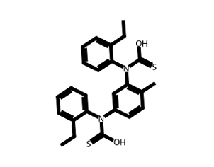 CCc1ccccc1N(C(O)=S)c1ccc(C)c(N(C(O)=S)c2ccccc2CC)c1